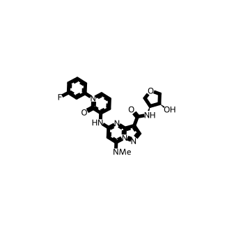 CNc1cc(Nc2cccn(-c3cccc(F)c3)c2=O)nc2c(C(=O)N[C@@H]3COC[C@@H]3O)cnn12